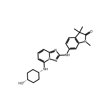 CN1C(=O)C(C)(C)c2ccc(Nc3nc4cccc(N[C@H]5CC[C@@H](O)CC5)n4n3)cc21